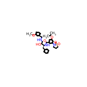 COc1cccc(CNC[C@@H](O)[C@H](Cc2ccccc2)NC(=O)c2cc(OC(C)C)cc(N3CCCS3(=O)=O)c2)c1